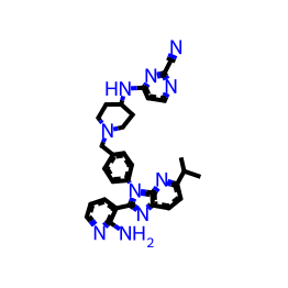 CC(C)c1ccc2nc(-c3cccnc3N)n(-c3ccc(CN4CCC(Nc5ccnc(C#N)n5)CC4)cc3)c2n1